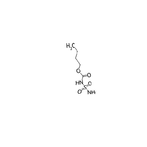 CCCCOC(=O)NS([NH])(=O)=O